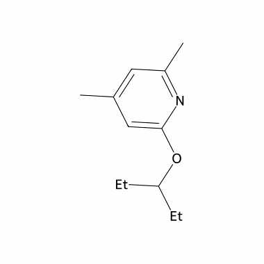 CCC(CC)Oc1cc(C)cc(C)n1